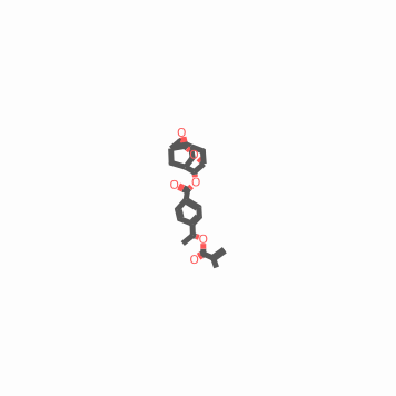 C=C(C)C(=O)OC(C)c1ccc(C(=O)OC2C3CC4CC(C3)C(=O)OC2C4)cc1